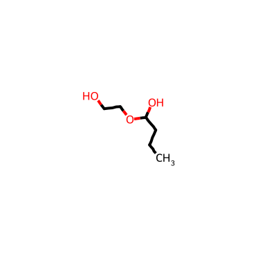 CCCC(O)OCCO